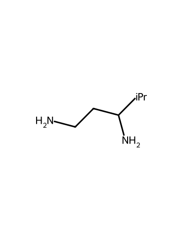 CC(C)C(N)CCN